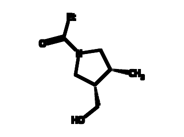 CCC(=O)N1C[C@@H](CO)[C@@H](C)C1